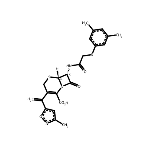 C=C(C1=C(C(=O)O)N2C(=O)[C@@H](NC(=O)CSc3cc(C)cc(C)c3)[C@H]2SC1)c1cc(C)no1